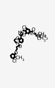 Cc1c(Cl)cccc1OCCCC(=O)N1CCCOc2c(-c3cnn(Cc4c(Cl)cc(C(=O)NCC[N+](C)(C)C)cc4Cl)c3)cccc21